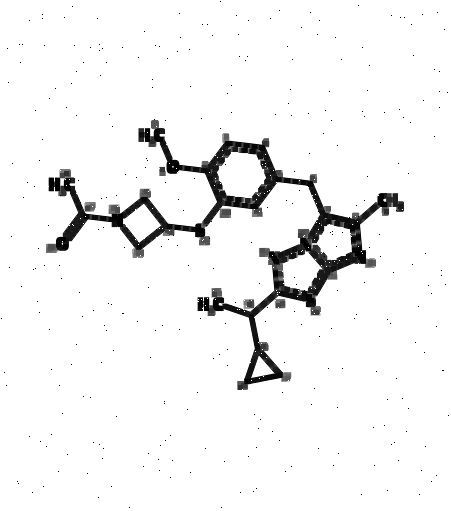 COc1ccc(Cc2c(C)nc3sc(C(C)C4CC4)nn23)cc1SC1CN(C(C)=O)C1